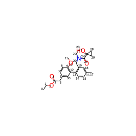 CCOC(=O)Cc1ccc(OC)c(-c2ccc(C)cc2CN(CC)C(=O)C2(O)CC2)c1